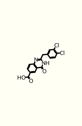 O=C(O)c1ccc2nc(Cc3ccc(Cl)c(Cl)c3)[nH]c(=O)c2c1